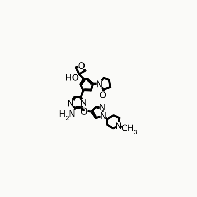 CN1CCC(n2cc(Oc3nc(-c4cc(N5CCCC5=O)cc(C5(O)COC5)c4)cnc3N)cn2)CC1